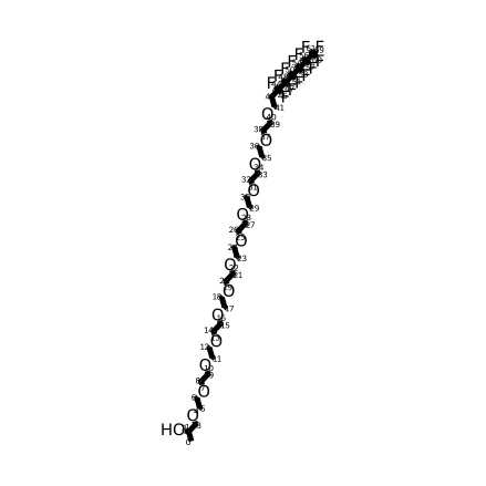 CC(O)COCCOCCOCCOCCOCCOCCOCCOCCOCCOCCOCCOCCOCCC(F)(F)C(F)(F)C(F)(F)C(F)(F)C(F)(F)C(F)(F)F